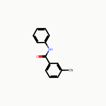 N#Cc1cccc(C(=O)Nc2ccccc2)c1